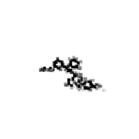 COc1cccc(-c2cn(C(=O)C3CCCN3S(=O)(=O)c3ccc(C)cc3)c3ccccc23)c1